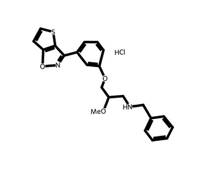 COC(CNCc1ccccc1)COc1cccc(-c2noc3ccsc23)c1.Cl